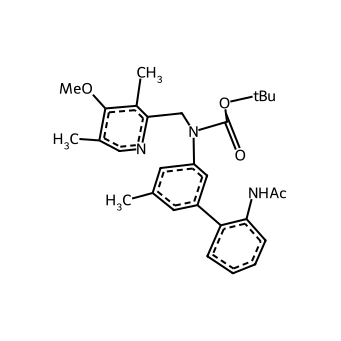 COc1c(C)cnc(CN(C(=O)OC(C)(C)C)c2cc(C)cc(-c3ccccc3NC(C)=O)c2)c1C